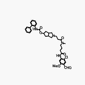 COc1cc(NC(=O)CCCN(C)C(=O)CCN2CC3CC(OC(=O)Nc4ccccc4-c4ccccc4)CC3C2)c(Cl)cc1C=O